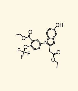 CCOC(=O)Cc1cc2cc(O)ccc2n1-c1ccc(OC(F)(F)F)c(C(=O)OCC)c1